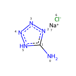 Nc1nnn[nH]1.[Cl-].[Na+]